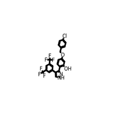 Oc1cc(OCc2ccc(Cl)cc2)ccc1-c1n[nH]cc1-c1cc(C(F)(F)F)cc(C(F)(F)F)c1